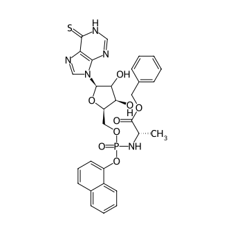 C[C@H](NP(=O)(OC[C@H]1O[C@@H](n2cnc3c(=S)[nH]cnc32)C(O)[C@H]1O)Oc1cccc2ccccc12)C(=O)OCc1ccccc1